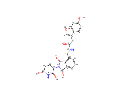 COc1ccc2c(CC(=O)NCc3cccc4c3C(=O)N(C3CCC(=O)NC3=O)C4=O)coc2c1